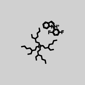 CCCCC(CC)CC[B-](CCC(CC)CCCC)(CCC(CC)CCCC)CCC(CC)CCCC.Fc1ccc(F)c([NH+]2C=Cc3ccccc32)c1